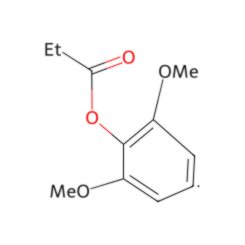 CCC(=O)Oc1c(OC)c[c]cc1OC